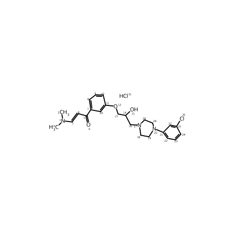 CN(C)C=CC(=O)c1cccc(OCC(O)CN2CCN(c3cccc(Cl)c3)CC2)c1.Cl